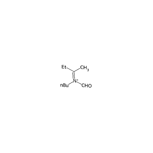 CCCC/[N+](C=O)=C(/C)CC